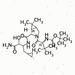 CC(C)(C)OC(=O)N[C@H](C(=O)N1CC2[C@@H](C1C(=O)NC(CC1CC1)C(O)C(N)=O)C2(C)C)C(C)(C)C